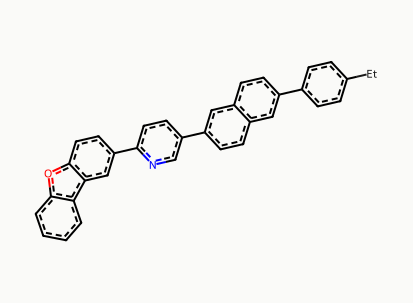 CCc1ccc(-c2ccc3cc(-c4ccc(-c5ccc6oc7ccccc7c6c5)nc4)ccc3c2)cc1